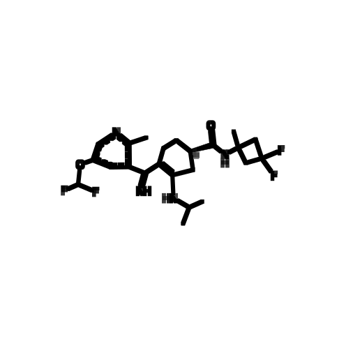 Cc1ncc(OC(F)F)cc1C(=N)C1=C(NC(C)C)C[C@H](C(=O)NC2(C)CC(F)(F)C2)CC1